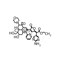 CCOC(=O)/C(=C1/C=C(C(CC2C3(CO3)C(N3CCOCC3)CC3[C@]2(C)CC[C@@H](O)[C@@]3(C)CO)Nc2ccccn2)C(=O)O1)c1cnc(N)nc1